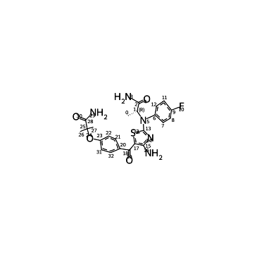 C[C@H](C(N)=O)N(c1ccc(F)cc1)c1nc(N)c(C(=O)c2ccc(OC(C)(C)C(N)=O)cc2)s1